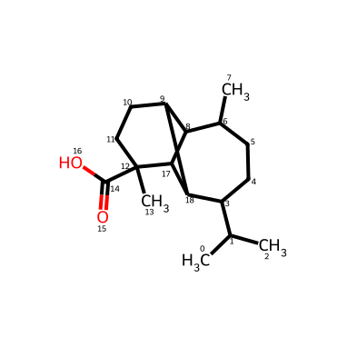 CC(C)C1CCC(C)C2C3CCC(C)(C(=O)O)C2C13